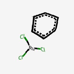 [Cl][Ru]([Cl])[Cl].[c]1ccccc1